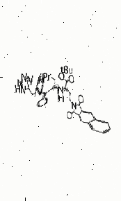 CC(C)C[C@H](N[C@H](CCN1C(=O)c2cc3ccccc3cc2C1=O)C(=O)OC(C)(C)C)C(=O)NCc1nnn[nH]1